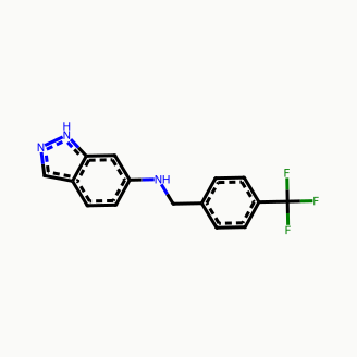 FC(F)(F)c1ccc(CNc2ccc3cn[nH]c3c2)cc1